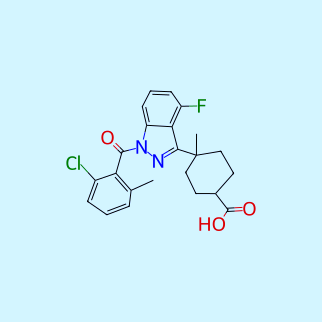 Cc1cccc(Cl)c1C(=O)n1nc(C2(C)CCC(C(=O)O)CC2)c2c(F)cccc21